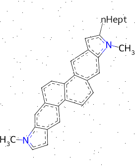 CCCCCCCc1cc2cc3c(ccc4c5cc6ccn(C)c6cc5ccc34)cc2n1C